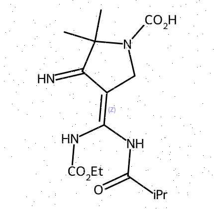 CCOC(=O)N/C(NC(=O)C(C)C)=C1/CN(C(=O)O)C(C)(C)C1=N